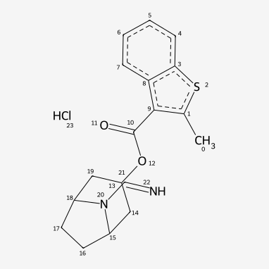 Cc1sc2ccccc2c1C(=O)OC1CC2CCC(C1)N2C=N.Cl